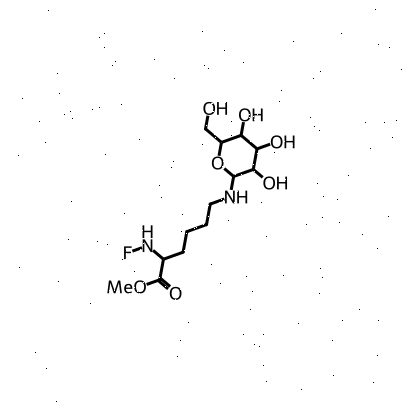 COC(=O)C(CCCCNC1OC(CO)C(O)C(O)C1O)NF